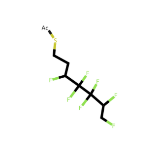 CC(=O)SCCC(F)C(F)(F)C(F)(F)C(F)CF